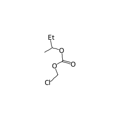 CCC(C)OC(=O)OCCl